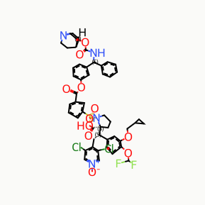 O=C(N[C@@H](c1ccccc1)c1cccc(OC(=O)c2cccc(S(=O)(=O)N3CCC[C@@]3(C(=O)O)[C@@H](Cc3c(Cl)c[n+]([O-])cc3Cl)c3ccc(OC(F)F)c(OCC4CC4)c3)c2)c1)O[C@H]1CN2CCC1CC2